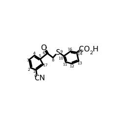 N#Cc1cccc(C(=O)CSc2cccc(C(=O)O)c2)c1